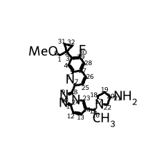 COCC1(c2cc3nc(-c4nnc5ccc([C@H](C)N6CC[C@H](N)C6)cn45)ccc3cc2F)CC1